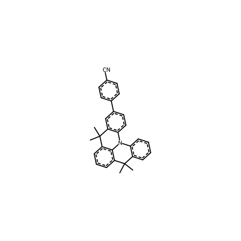 CC1(C)c2ccccc2N2c3ccc(-c4ccc(C#N)cc4)cc3C(C)(C)c3cccc1c32